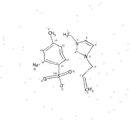 C=CCN1C=CN(C)C1.Cc1ccc(S(=O)(=O)[O-])cc1.[Na+]